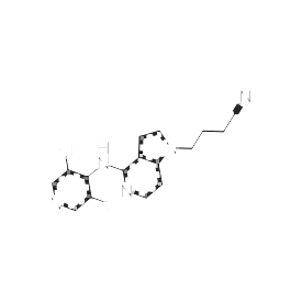 N#CCCCn1ccc2c(Nc3c(Cl)cncc3Cl)nccc21